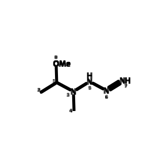 COC(C)N(C)NN=N